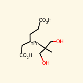 CCCC(C)(CO)CO.O=C(O)CCCCC(=O)O